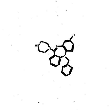 Clc1ccc2c(c1)N=C(N1CCNCC1)c1ccccc1N2Cc1ccccc1